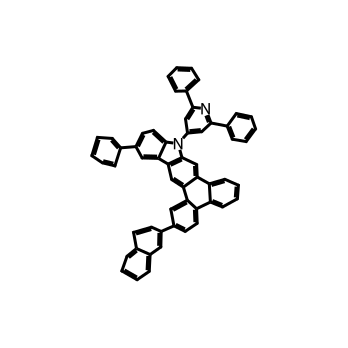 c1ccc(-c2ccc3c(c2)c2cc4c5cc(-c6ccc7ccccc7c6)ccc5c5ccccc5c4cc2n3-c2cc(-c3ccccc3)nc(-c3ccccc3)c2)cc1